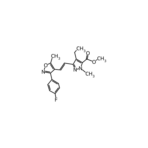 CCc1c(C=Cc2c(-c3ccc(F)cc3)noc2C)nn(C)c1C(=O)OC